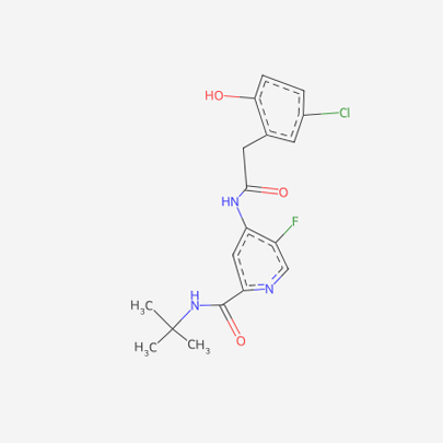 CC(C)(C)NC(=O)c1cc(NC(=O)Cc2cc(Cl)ccc2O)c(F)cn1